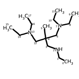 CCNCC(C)(CN(CC)CC)CN(CC)CC